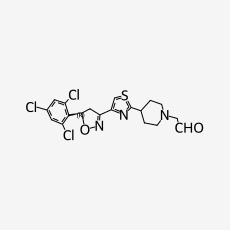 O=CCN1CCC(c2nc(C3=NO[C@@H](c4c(Cl)cc(Cl)cc4Cl)C3)cs2)CC1